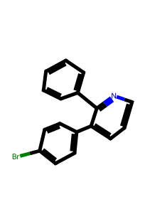 Brc1ccc(-c2cccnc2-c2ccccc2)cc1